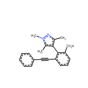 Cc1nn(C)c(C)c1-c1c(C#Cc2ccccc2)cccc1C(=O)O